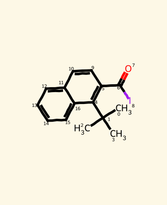 CC(C)(C)c1c(C(=O)I)ccc2ccccc12